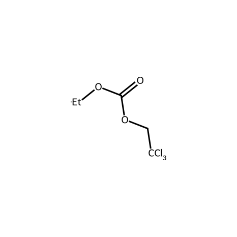 C[CH]OC(=O)OCC(Cl)(Cl)Cl